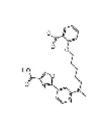 CN(CCCCCOc1ccccc1[N+](=O)[O-])c1cc(-c2nc(C(=O)O)co2)ccn1